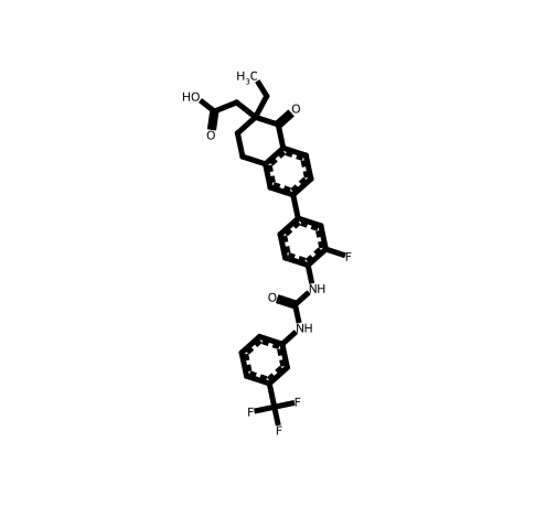 CCC1(CC(=O)O)CCc2cc(-c3ccc(NC(=O)Nc4cccc(C(F)(F)F)c4)c(F)c3)ccc2C1=O